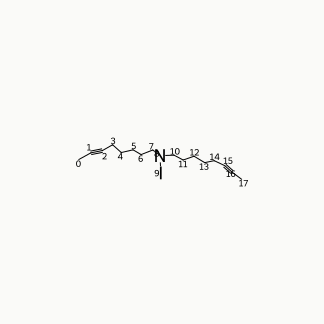 CC#CCCCCCN(I)CCCCCC#CC